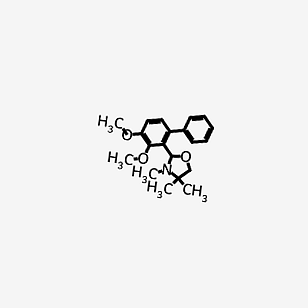 COc1ccc(-c2ccccc2)c(C2OCC(C)(C)N2C)c1OC